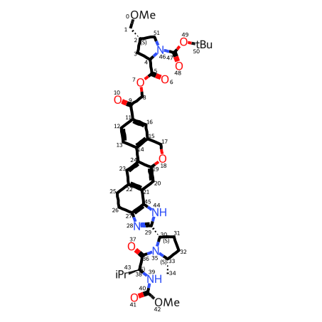 COC[C@H]1CC(C(=O)OCC(=O)c2ccc3c(c2)COc2cc4c(cc2-3)CCc2nc([C@@H]3CC[C@H](C)N3C(=O)[C@@H](NC(=O)OC)C(C)C)[nH]c2-4)N(C(=O)OC(C)(C)C)C1